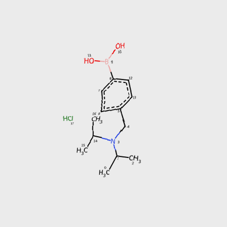 CC(C)N(Cc1ccc(B(O)O)cc1)C(C)C.Cl